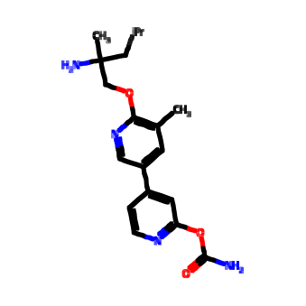 Cc1cc(-c2ccnc(OC(N)=O)c2)cnc1OCC(C)(N)CC(C)C